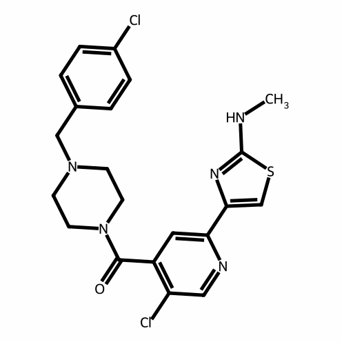 CNc1nc(-c2cc(C(=O)N3CCN(Cc4ccc(Cl)cc4)CC3)c(Cl)cn2)cs1